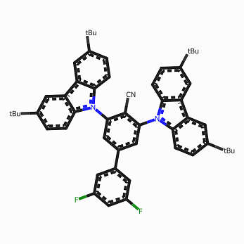 CC(C)(C)c1ccc2c(c1)c1cc(C(C)(C)C)ccc1n2-c1cc(-c2cc(F)cc(F)c2)cc(-n2c3ccc(C(C)(C)C)cc3c3cc(C(C)(C)C)ccc32)c1C#N